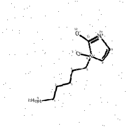 CCCCCCCCCCCC[N+]1([O-])C=C[N+]=C1[O-]